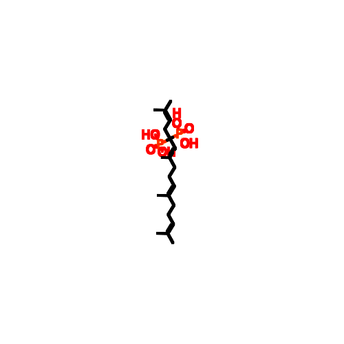 CC(C)=CCC/C(C)=C/CC/C(C)=C/C(CC=C(C)C)(P(=O)(O)O)P(=O)(O)O